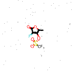 CC1OC(=O)C(F)=C1OS(=O)(=O)C(F)(F)F